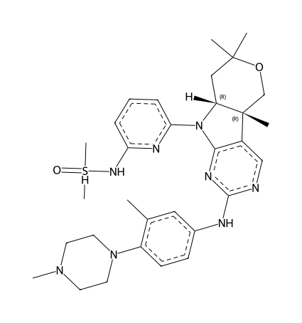 Cc1cc(Nc2ncc3c(n2)N(c2cccc(N[SH](C)(C)=O)n2)[C@@H]2CC(C)(C)OC[C@]32C)ccc1N1CCN(C)CC1